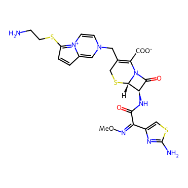 CO/N=C(\C(=O)N[C@@H]1C(=O)N2C(C(=O)[O-])=C(Cn3cc[n+]4c(SCCN)ccc-4c3)CS[C@@H]12)c1csc(N)n1